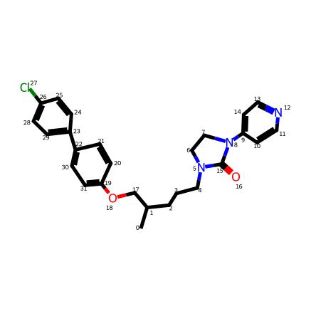 CC(CCCN1CCN(c2ccncc2)C1=O)COc1ccc(-c2ccc(Cl)cc2)cc1